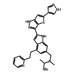 CC(N(C)Cc1cc(CCc2ccccn2)c2cc(-c3n[nH]c4cc(-c5cn[nH]c5)sc34)[nH]c2c1)C(C)(C)C